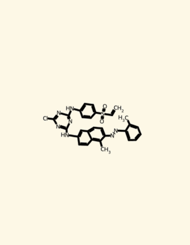 C=CS(=O)(=O)c1ccc(Nc2nc(Cl)nc(Nc3ccc4c(C)c(N=Nc5ccccc5C)ccc4c3)n2)cc1